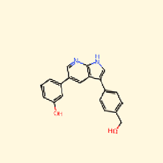 OCc1ccc(-c2c[nH]c3ncc(-c4cccc(O)c4)cc23)cc1